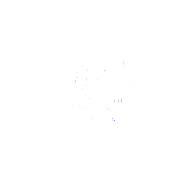 CN(N)C=O.Clc1ccc(C23CCC2c2ccccc23)cc1Cl